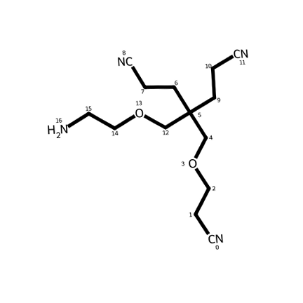 N#CCCOCC(CCC#N)(CCC#N)COCCN